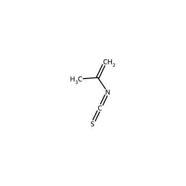 C=C(C)N=C=S